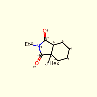 CCCCCCC12CCCCC1C(=O)N(CC)C2=O